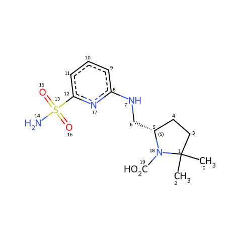 CC1(C)CC[C@@H](CNc2cccc(S(N)(=O)=O)n2)N1C(=O)O